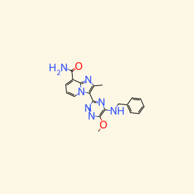 COc1nnc(-c2c(C)nc3c(C(N)=O)cccn23)nc1NCc1ccccc1